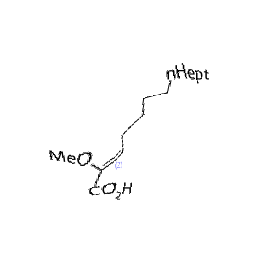 CCCCCCCCCCC/C=C(\OC)C(=O)O